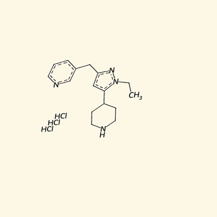 CCn1nc(Cc2cccnc2)cc1C1CCNCC1.Cl.Cl.Cl